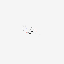 CC(C)(C)C1CCC(Oc2ccc3cc(CN4C5CCCC4CC(C(=O)O)C5)ccc3c2)CC1